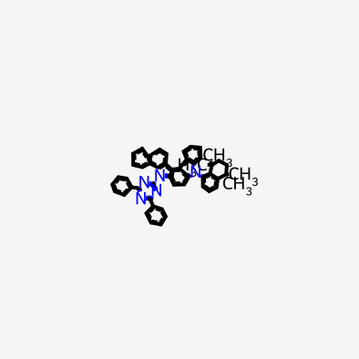 CC1(C)CCC(C)(C)c2c(-n3c4ccccc4c4c5c6ccc7ccccc7c6n(-c6nc(-c7ccccc7)nc(-c7ccccc7)n6)c5ccc43)cccc21